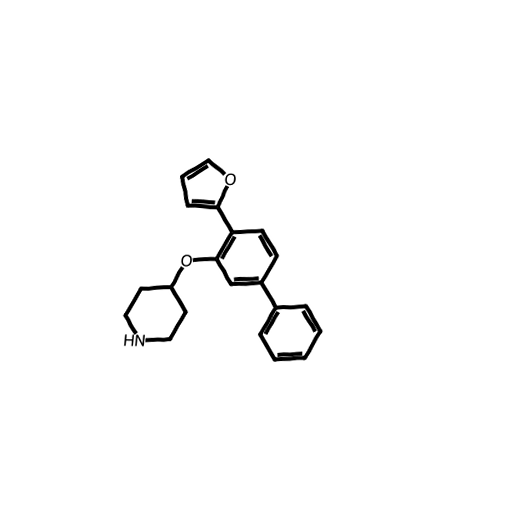 c1ccc(-c2ccc(-c3ccco3)c(OC3CCNCC3)c2)cc1